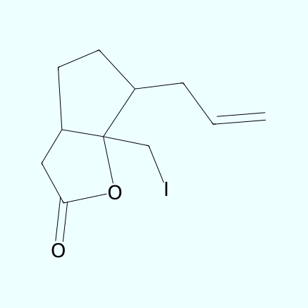 C=CCC1CCC2CC(=O)OC12CI